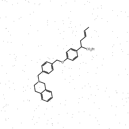 CC=CCC(C(=O)OCC)c1ccc(OCc2ccc(CN3CCc4ccccc4C3)cc2)cc1